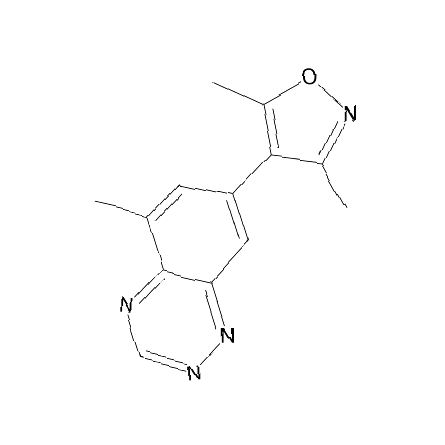 Cc1noc(C)c1-c1cc(C)c2ncnnc2c1